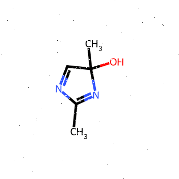 CC1=NC(C)(O)C=N1